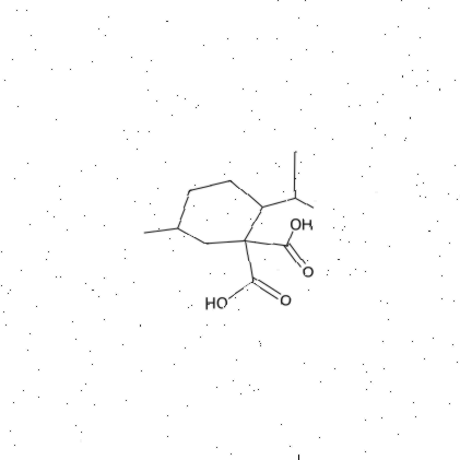 CC1CCC(C(C)C)C(C(=O)O)(C(=O)O)C1